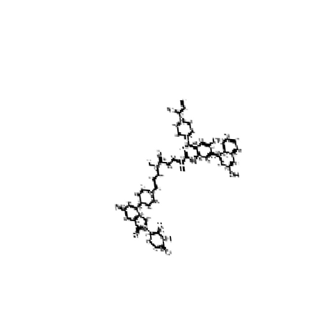 C=CC(=O)N1CCN(c2nc(NCCC(=O)N(C)CCCN3CCC(c4cc(F)cc5c4CN(C4CCC(=O)NC4=O)C5=O)CC3)nc3cc(-c4cc(O)cc5ccccc45)c(Cl)cc23)CC1